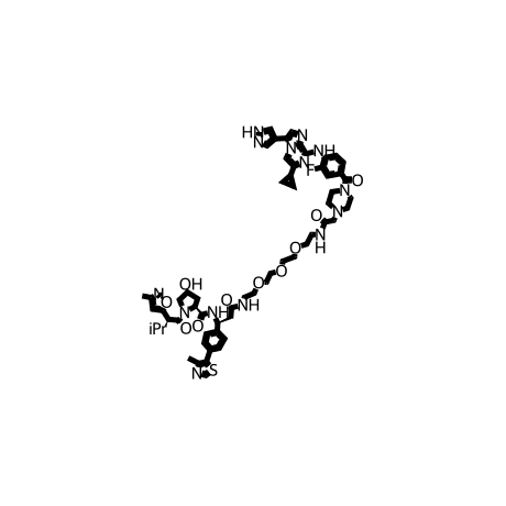 Cc1cc([C@H](C(=O)N2C[C@H](O)C[C@H]2C(=O)N[C@@H](CC(=O)NCCOCCOCCOCCNC(=O)CN2CCN(C(=O)c3ccc(Nc4nc(C5CC5)cn5c(-c6cn[nH]c6)cnc45)c(F)c3)CC2)c2ccc(-c3scnc3C)cc2)C(C)C)on1